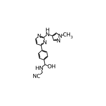 Cn1cc(Nc2nccc(-c3ccc(C(O)NCC#N)cc3)n2)cn1